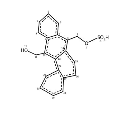 O=S(=O)(O)OCc1c2ccccc2c(CO)c2c1ccc1ccccc12